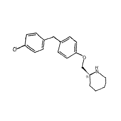 Clc1ccc(Cc2ccc(OC[C@@H]3CCCCN3)cc2)cc1